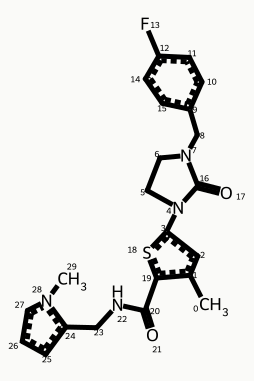 Cc1cc(N2CCN(Cc3ccc(F)cc3)C2=O)sc1C(=O)NCc1cccn1C